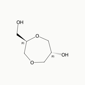 OC[C@@H]1COC[C@@H](O)CO1